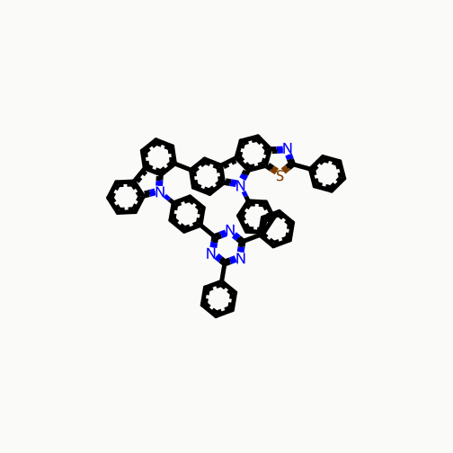 c1ccc(-c2nc(-c3ccccc3)nc(-c3ccc(-n4c5ccccc5c5cccc(-c6ccc7c(c6)c6ccc8nc(-c9ccccc9)sc8c6n7-c6ccccc6)c54)cc3)n2)cc1